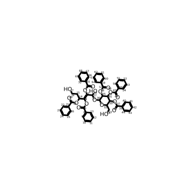 O=C(O/C(=C(/OC(=O)c1ccccc1)C(CCO)OC(=O)c1ccccc1)C(O)OC1OC(CO)C(OC(=O)c2ccccc2)C(OC(=O)c2ccccc2)C1OC(=O)c1ccccc1)c1ccccc1